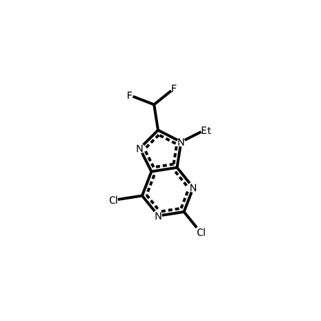 CCn1c(C(F)F)nc2c(Cl)nc(Cl)nc21